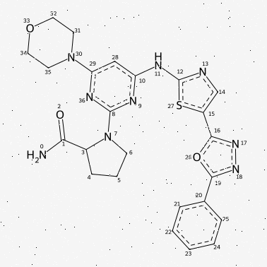 NC(=O)C1CCCN1c1nc(Nc2ncc(-c3nnc(-c4ccccc4)o3)s2)cc(N2CCOCC2)n1